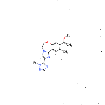 C=C(OCC)c1cc2c(cc1C)-c1nc(-c3ncnn3C(C)C)cn1CCO2